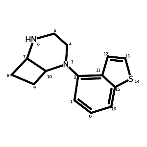 c1cc(N2CCNC3CCC32)c2ccsc2c1